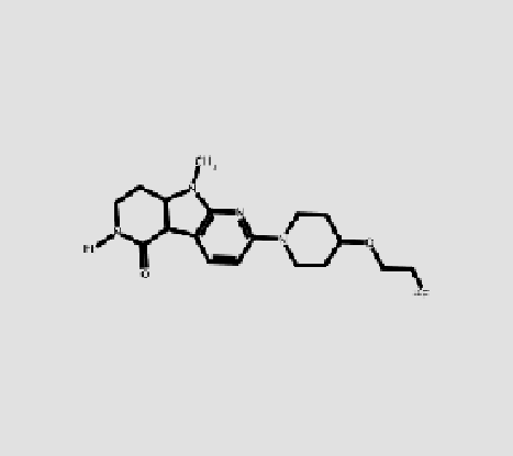 CCN1CCC2C(C1=O)c1ccc(N3CCC(OCC[18F])CC3)nc1N2C